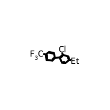 CCc1ccc(-c2ccc(C(F)(F)F)cc2)c(Cl)c1